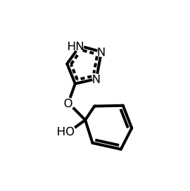 OC1(Oc2c[nH]nn2)C=CC=CC1